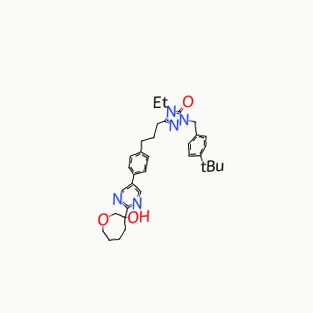 CCn1c(CCCc2ccc(-c3cnc(C4(O)CCCCOC4)nc3)cc2)nn(Cc2ccc(C(C)(C)C)cc2)c1=O